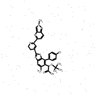 Cc1cc2nc(C3=CC(c4ccc5nn(C)cc5n4)=NCC3)sc2c(-c2ccc(Cl)cc2)c1[C@H](OC(C)(C)C)C(=O)O